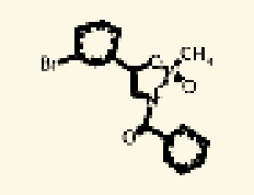 CP(C)(=O)OC(=CNC(=O)c1ccccc1)c1cccc(Br)c1